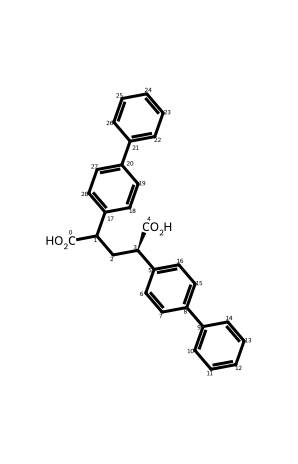 O=C(O)C(C[C@@H](C(=O)O)c1ccc(-c2ccccc2)cc1)c1ccc(-c2ccccc2)cc1